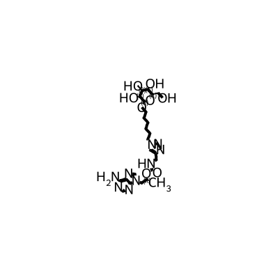 C[C@H](Cn1cnc2c(N)ncnc21)OC(=O)NCc1cn(CCCCCCO[C@@H]2O[C@H](CO)[C@@H](O)[C@H](O)[C@@H]2O)nn1